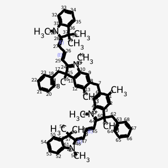 Cc1cc2c(cc1Cc1cc3c(cc1C)C(C)(Cc1ccccc1)C(/C=C/C=C1/N(C)c4ccccc4C1(C)C)=[N+]3C)[N+](C)=C(/C=C/C=C1/N(C)c3ccccc3C1(C)C)C2(C)Cc1ccccc1